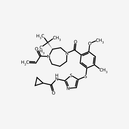 C=CC(=O)N1CCCN(C(=O)c2cc(Sc3cnc(NC(=O)C4CC4)s3)c(C)cc2OC)C[C@H]1C(C)(C)C